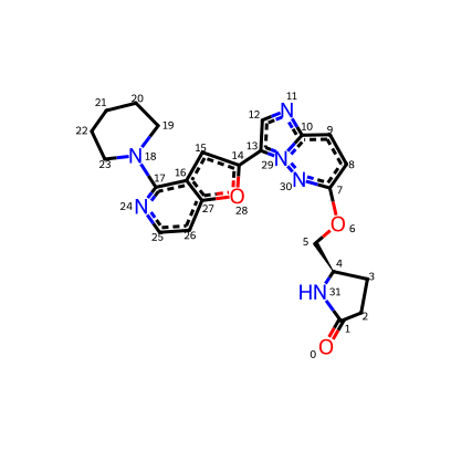 O=C1CC[C@H](COc2ccc3ncc(-c4cc5c(N6CCCCC6)nccc5o4)n3n2)N1